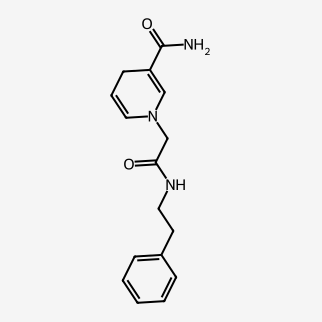 NC(=O)C1=CN(CC(=O)NCCc2ccccc2)C=CC1